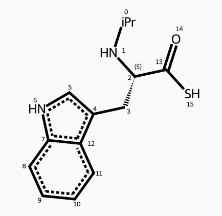 CC(C)N[C@@H](Cc1c[nH]c2ccccc12)C(=O)S